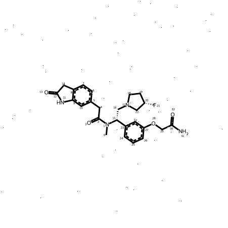 CN(C(=O)Cc1ccc2c(c1)NC(=O)C2)[C@H](CN1CC[C@H](F)C1)c1cccc(OCC(N)=O)c1